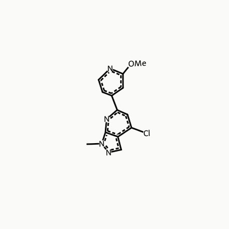 COc1cc(-c2cc(Cl)c3cnn(C)c3n2)ccn1